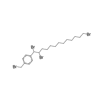 BrCCCCCCCCCCCC(Br)C(Br)c1ccc(CBr)cc1